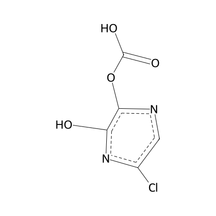 O=C(O)Oc1ncc(Cl)nc1O